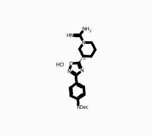 CCCCCCCCCCc1ccc(-c2noc([C@H]3CCCN(C(=N)N)C3)n2)cc1.Cl